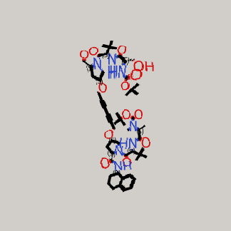 C[C@@H](C(=O)N[C@H](C(=O)N1C[C@@H](OCC#CC#CCO[C@H]2C[C@@H](C=O)N(C(=O)[C@@H](NC(=O)[C@H](CO)NC(=O)OC(C)(C)C)C(C)(C)C)C2)C[C@H]1C(=O)N[C@@H]1CCCc2ccccc21)C(C)(C)C)N(C)C(=O)OC(C)(C)C